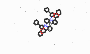 c1ccc(-c2cc(-c3ccccc3)cc(N3c4cccc5c4B(c4cccc(-c6ccccc6)c43)c3cccc(-c4ccccc4)c3N5c3cc(-c4ccccc4)cc(-c4ccccc4)c3)c2)cc1